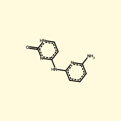 Nc1cccc(Nc2cc[nH]c(=O)n2)n1